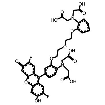 O=C(O)CN(CC(=O)O)c1ccccc1OCCOCCOc1cc(-c2c3cc(F)c(=O)cc-3oc3cc(O)c(F)cc23)ccc1N(CC(=O)O)CC(=O)O